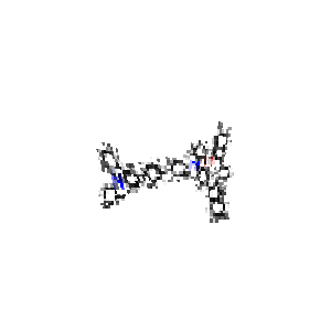 c1ccc(-c2cc3ccccc3c3c2oc2c(N(c4ccc(-c5ccc(-c6ccc7c(c6)c6ccccc6n7-c6ccccc6)cc5)cc4)c4ccc(-c5ccc6ccccc6c5)cc4)cccc23)cc1